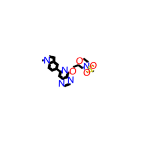 Cn1ccc2cc(-c3cc4nccnc4c(OCC4CN(S(C)(=O)=O)CCO4)n3)ccc21